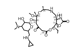 CC[C@H]1OC(=O)[C@H](C)C(=O)[C@H](C)[C@@H](O[C@@H]2OC(CNC3CC3)CC(N(C)C)C2O)[C@](C)(OC)C[C@@H](C)CN[C@H](C)[C@H]2NC(=O)O[C@@]21C